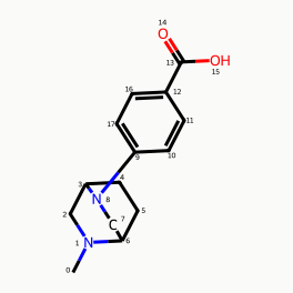 CN1CC2CCC1CN2c1ccc(C(=O)O)cc1